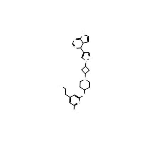 OCCc1cc(OC2CCN(C3CC(n4cc(C5N=CN=C6NC=CC65)cn4)C3)CC2)nc(C(F)(F)F)c1